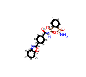 NS(=O)(=O)c1ccccc1S(=O)(=O)NC(=O)c1ccc(-c2nc3ccccc3o2)cc1